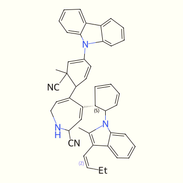 CC/C=C\c1c(C)n(C2C=CC=C[C@H]2C2=CC(C#N)NCC=C2C2C=CC(n3c4ccccc4c4ccccc43)=CC2(C)C#N)c2ccccc12